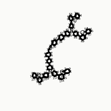 c1ccc2c(c1)oc1c(-c3ccc(N(c4ccc(-c5ccc(-c6ccc(COCc7ccc(-c8ccc(-c9ccc(N(c%10ccc(-c%11cccc%12c%11oc%11ccccc%11%12)cc%10)c%10ccc(-c%11cccc%12c%11oc%11ccccc%11%12)cc%10)cc9)cc8)cc7)cc6)cc5)cc4)c4ccc(-c5cccc6c5oc5ccccc56)cc4)cc3)cccc12